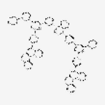 c1ccc(-c2cc(-c3ccc(-c4cnc(-c5cccc(-c6cc(-c7cccc(-c8ccncc8)c7)nc(-c7ccc(-c8cc9ccc%10ccccc%10c9c9ccccc89)cc7)n6)c5)c5ccccc45)cc3)nc(-c3ccc(-c4cc5ccc6ccccc6c5c5ccccc45)cc3)n2)cc1